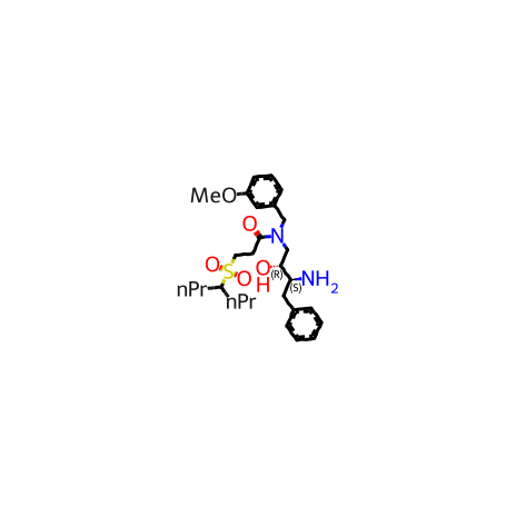 CCCC(CCC)S(=O)(=O)CCC(=O)N(Cc1cccc(OC)c1)C[C@@H](O)[C@@H](N)Cc1ccccc1